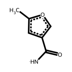 Cc1cc(C([NH])=O)co1